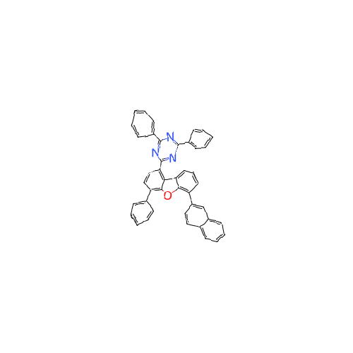 c1ccc(-c2nc(-c3ccccc3)nc(-c3ccc(-c4ccccc4)c4oc5c(-c6ccc7ccccc7c6)cccc5c34)n2)cc1